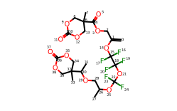 C=C(COC(=O)C1(C)COC(=O)OC1)OC(F)(F)C(F)(F)OC(F)(F)OC(C)COC(C)C1(C)COC(=O)OC1